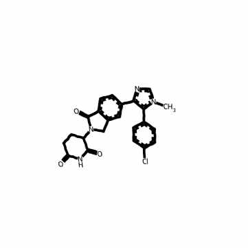 Cn1cnc(-c2ccc3c(c2)CN(C2CCC(=O)NC2=O)C3=O)c1-c1ccc(Cl)cc1